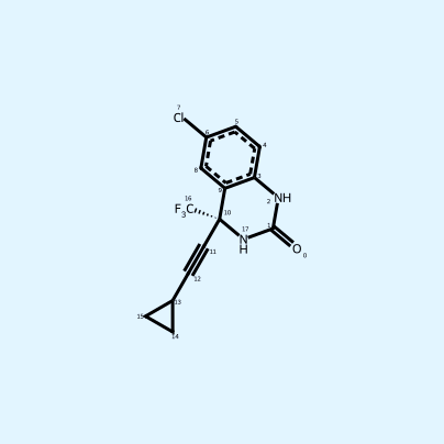 O=C1Nc2ccc(Cl)cc2[C@@](C#CC2CC2)(C(F)(F)F)N1